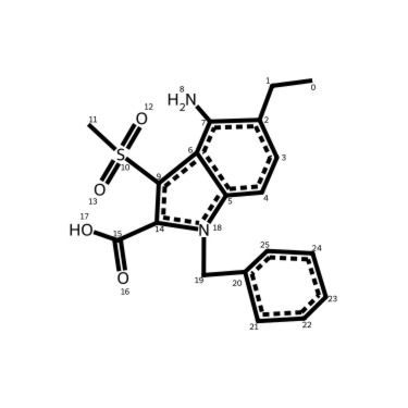 CCc1ccc2c(c1N)c(S(C)(=O)=O)c(C(=O)O)n2Cc1ccccc1